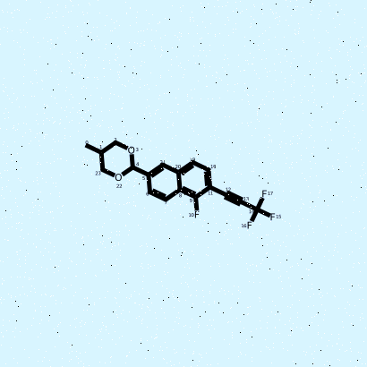 CC1COC(c2ccc3c(F)c(C#CC(F)(F)F)ccc3c2)OC1